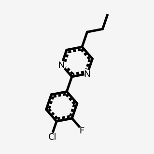 CCCc1cnc(-c2ccc(Cl)c(F)c2)nc1